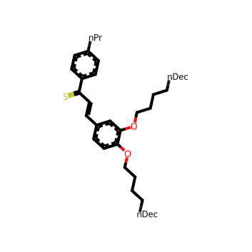 CCCCCCCCCCCCCCOc1ccc(C=CC(=S)c2ccc(CCC)cc2)cc1OCCCCCCCCCCCCCC